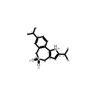 CC(C)c1ccc2c(c1)CS(=O)(=O)Cc1cc(C(C)C)[nH]c1-2